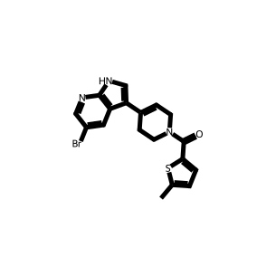 Cc1ccc(C(=O)N2CC=C(c3c[nH]c4ncc(Br)cc34)CC2)s1